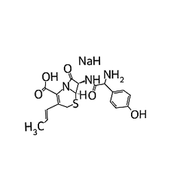 C/C=C/C1=C(C(=O)O)N2C(=O)[C@@H](NC(=O)C(N)c3ccc(O)cc3)[C@H]2SC1.[NaH]